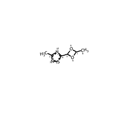 Cc1nsc(C2OC(C)O2)n1